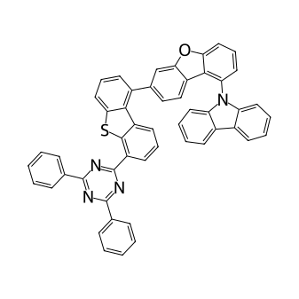 c1ccc(-c2nc(-c3ccccc3)nc(-c3cccc4c3sc3cccc(-c5ccc6c(c5)oc5cccc(-n7c8ccccc8c8ccccc87)c56)c34)n2)cc1